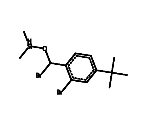 C[SiH](C)OC(Br)c1ccc(C(C)(C)C)cc1Br